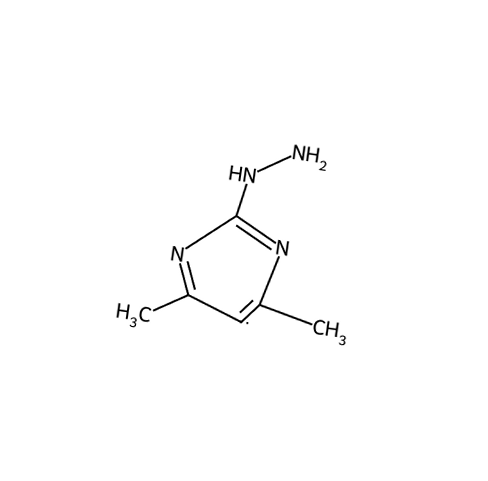 Cc1[c]c(C)nc(NN)n1